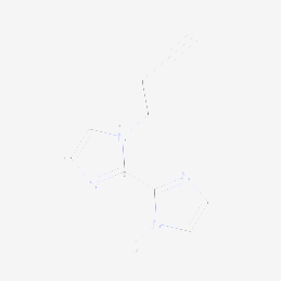 C#CCCn1ccnc1-c1nccn1C